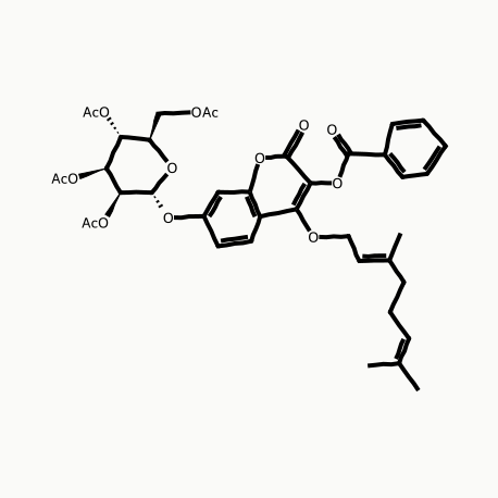 CC(=O)OC[C@H]1O[C@H](Oc2ccc3c(OC/C=C(\C)CCC=C(C)C)c(OC(=O)c4ccccc4)c(=O)oc3c2)[C@@H](OC(C)=O)[C@@H](OC(C)=O)[C@@H]1OC(C)=O